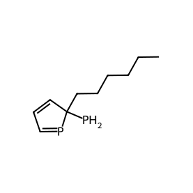 CCCCCCC1(P)C=CC=P1